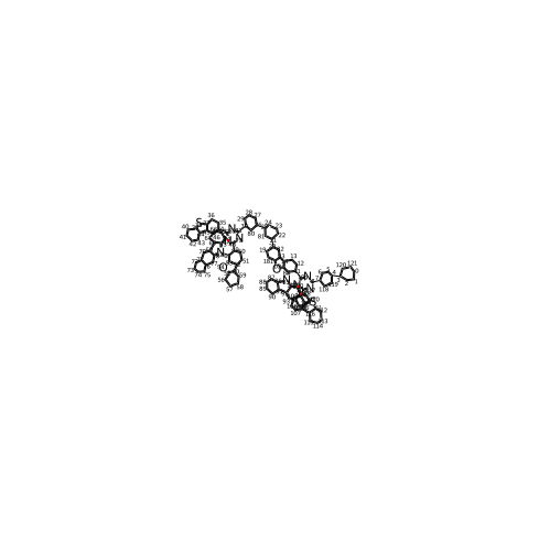 c1ccc(-c2ccc(-c3nc(-c4ccc5c(oc6ccc(-c7cccc(-c8cccc(-c9nc(-c%10ccc%11sc%12ccccc%12c%11c%10)nc(-c%10ccc%11c(oc%12ccccc%12%11)c%10-n%10c%11ccccc%11c%11cc%12ccccc%12cc%11%10)n9)c8)c7)cc65)c4-n4c5ccccc5c5cc6ccccc6cc54)nc(-c4cccc5c4sc4ccccc45)n3)cc2)cc1